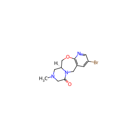 CN1CC(=O)N2Cc3cc(Br)cnc3OC[C@@H]2C1